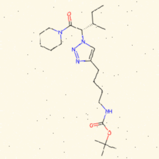 CCC(C)[C@@H](C(=O)N1CCCCC1)n1cc(CCCCNC(=O)OC(C)(C)C)nn1